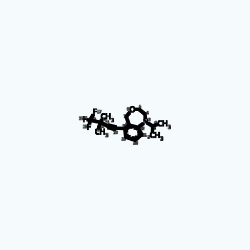 CC(C)N1CCOCc2c(C#CC(C)(C)C(F)(F)F)cccc21